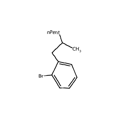 CCCCCC(C)Cc1ccccc1Br